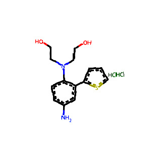 Cl.Cl.Nc1ccc(N(CCO)CCO)c(-c2cccs2)c1